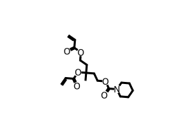 C=CC(=O)OCCC(C)(CCOC(=O)N1CCCCC1)OC(=O)C=C